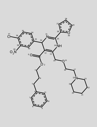 O=C(OCCCc1ccccc1)C1=C(COCCN2CCCCC2)NC(c2ccco2)=NC1c1ccc(Cl)c([N+](=O)[O-])c1